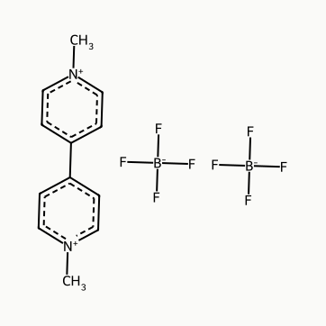 C[n+]1ccc(-c2cc[n+](C)cc2)cc1.F[B-](F)(F)F.F[B-](F)(F)F